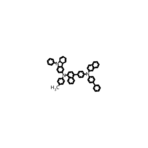 Cc1ccc(N(c2ccc3c(c2)C2C=CC=CC2N3c2ccccc2)c2ccc(-c3ccc(N(c4ccc(-c5ccccc5)cc4)c4ccc5ccccc5c4)cc3)c3ccccc23)cc1